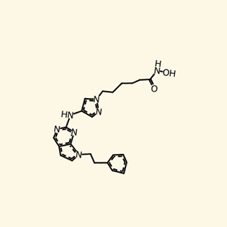 O=C(CCCCCn1cc(Nc2ncc3ccn(CCc4ccccc4)c3n2)cn1)NO